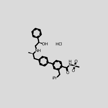 CC(C)Cc1cc(-c2ccc(C[C@@H](C)NC[C@H](O)c3ccccc3)cc2)ccc1C(=O)NS(C)(=O)=O.Cl